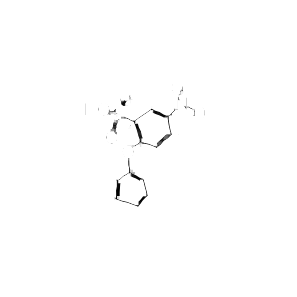 O=[N+]([O-])c1ccc(Oc2ccccc2)c(S(=O)(=O)O)c1